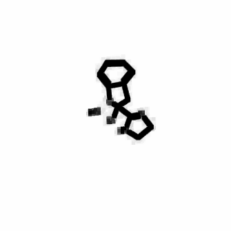 CCC1(C2=NCCN2)Cc2ccccc2O1.Cl